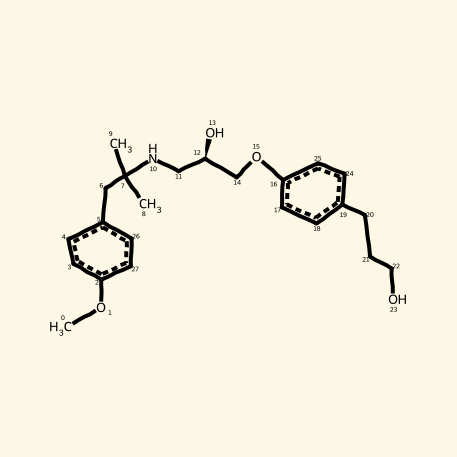 COc1ccc(CC(C)(C)NC[C@@H](O)COc2ccc(CCCO)cc2)cc1